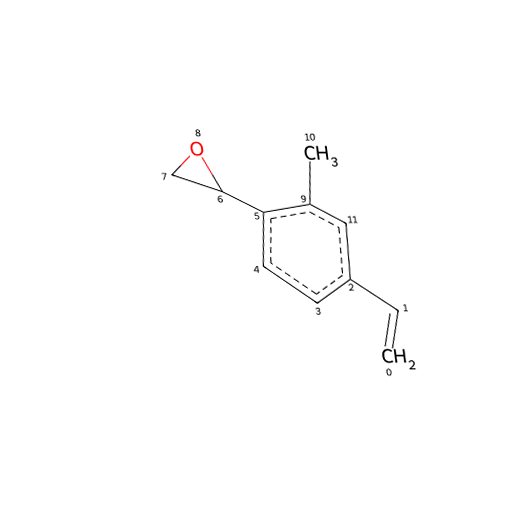 C=Cc1ccc(C2CO2)c(C)c1